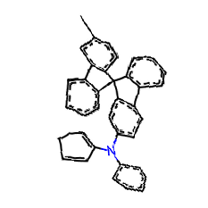 Cc1ccc2c(c1)-c1ccccc1C21c2ccccc2-c2ccc(N(C3=CCCC=C3)c3ccccc3)cc21